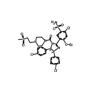 CCOc1cc(Cl)c(S(N)(=O)=O)cc1C1=N[C@@H](c2ccc(Cl)cc2)[C@@H](c2ccc(Cl)cc2)N1C(=O)N1CCN(CCS(C)(=O)=O)CC1